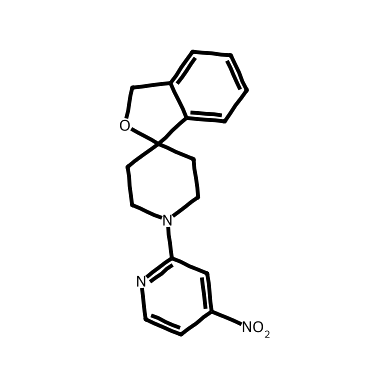 O=[N+]([O-])c1ccnc(N2CCC3(CC2)OCc2ccccc23)c1